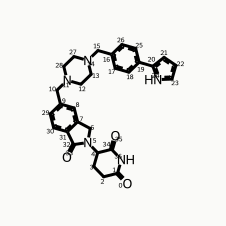 O=C1CCC(N2Cc3cc(CN4CCN(Cc5ccc(-c6ccc[nH]6)cc5)CC4)ccc3C2=O)C(=O)N1